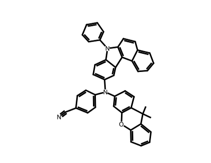 CC1(C)c2ccccc2Oc2cc(N(c3ccc(C#N)cc3)c3ccc4c(c3)c3c5ccccc5ccc3n4-c3ccccc3)ccc21